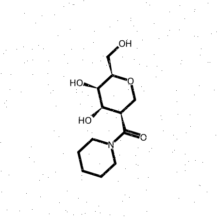 O=C([C@@H]1CO[C@H](CO)[C@H](O)[C@@H]1O)N1CCCCC1